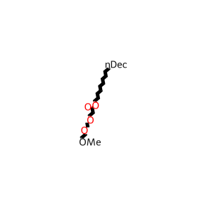 CCCCCCCCCCCCCCCCCCCCOC(=O)CCOCCOCCOC